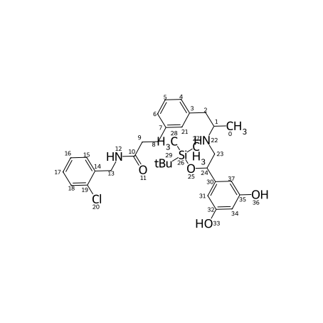 CC(Cc1cccc(CCC(=O)NCc2ccccc2Cl)c1)NCC(O[Si](C)(C)C(C)(C)C)c1cc(O)cc(O)c1